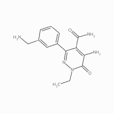 CCn1nc(-c2cccc(CN)c2)c(C(N)=O)c(N)c1=O